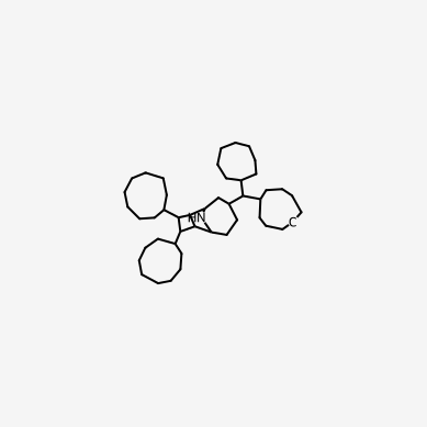 C1CCCCC(C(C2CCCCCCC2)C2CCC3NC(C2)C2C(C4CCCCCCCC4)C(C4CCCCCCCC4)C32)CCC1